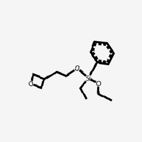 CCO[Si](CC)(OCCC1COC1)c1ccccc1